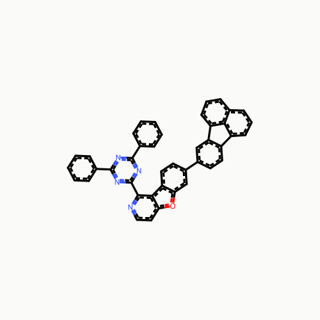 c1ccc(-c2nc(-c3ccccc3)nc(-c3nccc4oc5cc(-c6ccc7c(c6)-c6cccc8cccc-7c68)ccc5c34)n2)cc1